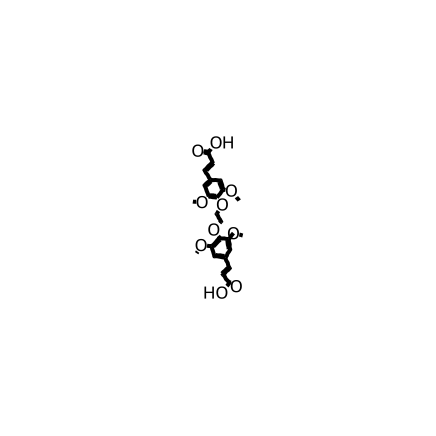 COc1cc(/C=C/C(=O)O)cc(OC)c1OCCOc1c(OC)cc(/C=C/C(=O)O)cc1OC